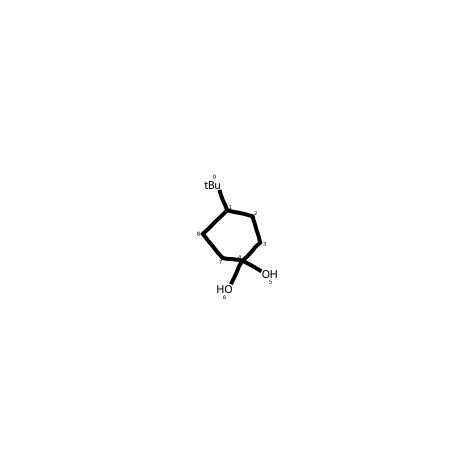 CC(C)(C)C1CCC(O)(O)CC1